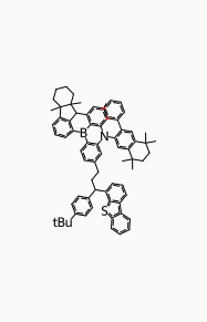 Cc1cc2c3c(c1)N(c1cc4c(cc1-c1ccccc1)C(C)(C)CCC4(C)C)c1cc(CCC(c4ccc(C(C)(C)C)cc4)c4cccc5c4sc4ccccc45)ccc1B3c1cccc3c1C2C1(C)CCCCC31C